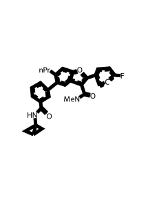 CCCc1cc2oc(-c3ccc(F)cc3)c(C(=O)NC)c2cc1-c1cccc(C(=O)NC23CC2C3)c1